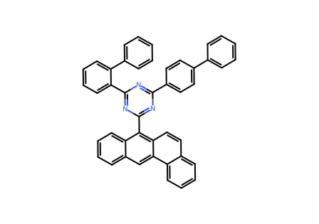 c1ccc(-c2ccc(-c3nc(-c4ccccc4-c4ccccc4)nc(-c4c5ccccc5cc5c4ccc4ccccc45)n3)cc2)cc1